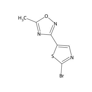 Cc1nc(-c2cnc(Br)s2)no1